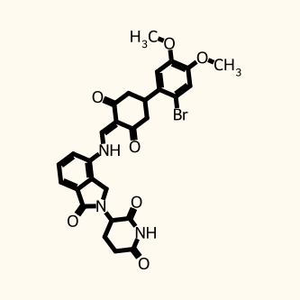 COc1cc(Br)c(C2CC(=O)C(=CNc3cccc4c3CN(C3CCC(=O)NC3=O)C4=O)C(=O)C2)cc1OC